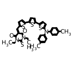 CCN1C(=O)C(=Cc2ccc(-c3ccc(-c4ccc(N(c5ccc(C)cc5)c5ccc(C)cc5)s4)s3)s2)C(=O)N(CC)C1=S